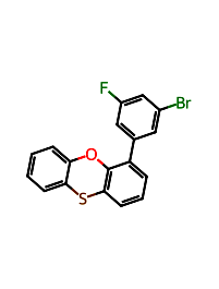 Fc1cc(Br)cc(-c2cccc3c2Oc2ccccc2S3)c1